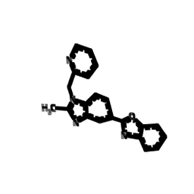 Cc1nc2cc(-c3nc4ccccc4o3)ccc2n1Cc1ccccn1